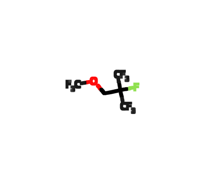 FC(F)(F)OCC(F)(C(F)(F)F)C(F)(F)F